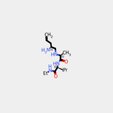 C=CC[C@H](N)CN[C@@H](C)C(=O)N[C@H](C(=O)NCC)C(C)C